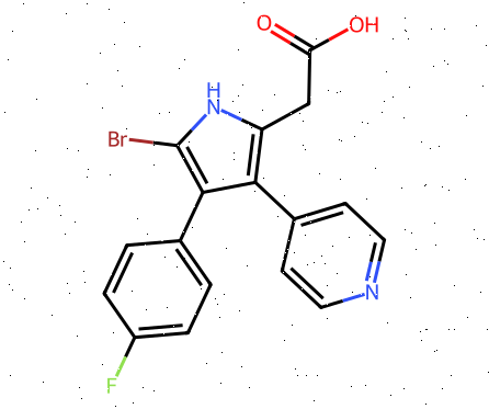 O=C(O)Cc1[nH]c(Br)c(-c2ccc(F)cc2)c1-c1ccncc1